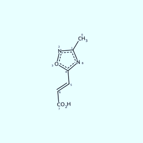 Cc1noc(/C=C/C(=O)O)n1